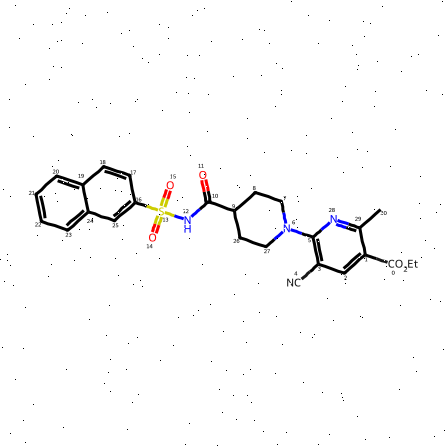 CCOC(=O)c1cc(C#N)c(N2CCC(C(=O)NS(=O)(=O)c3ccc4ccccc4c3)CC2)nc1C